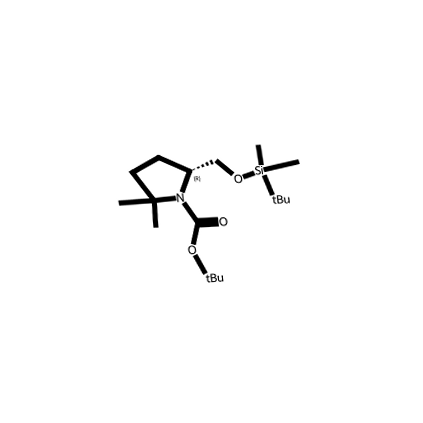 CC(C)(C)OC(=O)N1[C@@H](CO[Si](C)(C)C(C)(C)C)CCC1(C)C